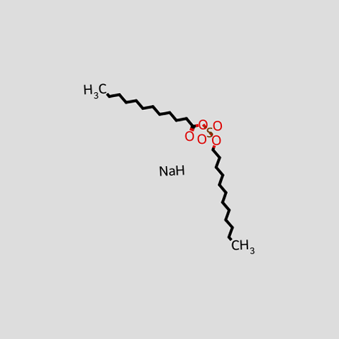 CCCCCCCCCCCCOS(=O)(=O)OC(=O)CCCCCCCCCCC.[NaH]